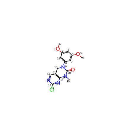 COc1cc(OC)cc(N2Cc3cnc(Cl)nc3N(C)C2=O)c1